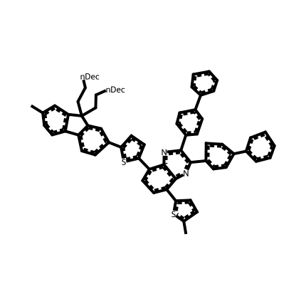 CCCCCCCCCCCCC1(CCCCCCCCCCCC)c2cc(C)ccc2-c2ccc(-c3ccc(-c4ccc(-c5ccc(C)s5)c5nc(-c6ccc(-c7ccccc7)cc6)c(-c6ccc(-c7ccccc7)cc6)nc45)s3)cc21